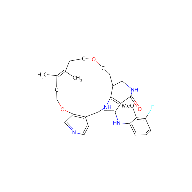 COc1c(F)cccc1Nc1c2[nH]c3c1C(=O)NCC3CCOCC/C(C)=C(\C)CCOc1cnccc1-2